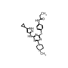 CCC(=O)Nc1ccc(Sc2nc(Nc3cc(C4CC4)[nH]n3)nc(N3CCN(C)CC3)n2)cc1